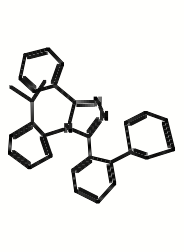 CC(C)c1ccccc1-n1c(-c2ccccc2)nnc1-c1ccccc1-c1ccccc1